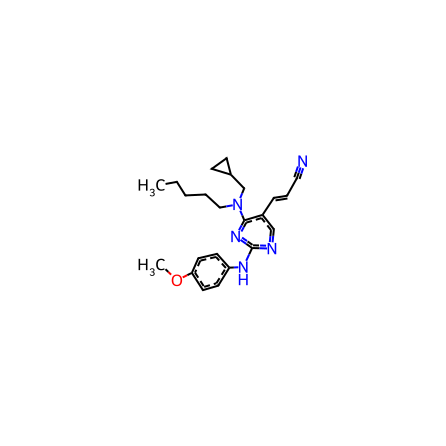 CCCCCN(CC1CC1)c1nc(Nc2ccc(OC)cc2)ncc1C=CC#N